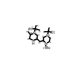 CCC(C)(C)N1CCN(C(C)(C)C)C(CC2CN(C(C)(C)C(C)C)C(C)CN2)C1